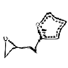 c1coc(CC2CO2)c1